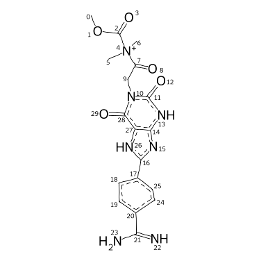 COC(=O)[N+](C)(C)C(=O)Cn1c(=O)[nH]c2nc(-c3ccc(C(=N)N)cc3)[nH]c2c1=O